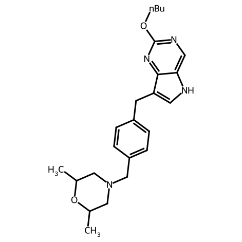 CCCCOc1ncc2[nH]cc(Cc3ccc(CN4CC(C)OC(C)C4)cc3)c2n1